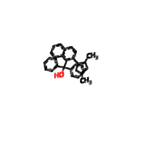 CC1=CC(C)=C(c2ccc3ccccc3c2C(O)(c2ccccc2)c2ccccc2)C1